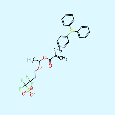 C=C(C)C(=O)OC(C)OCCC(F)(F)C(F)(F)S(=O)(=O)[O-].c1ccc([S+](c2ccccc2)c2ccccc2)cc1